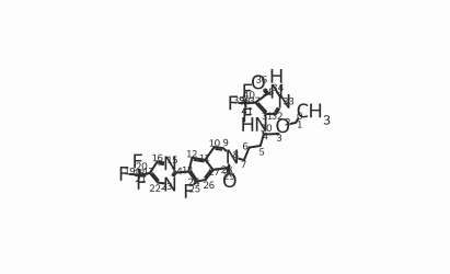 CCOCC(CCCn1ccc2cc(-c3ncc(C(F)(F)F)cn3)c(F)cc2c1=O)Nc1cn[nH]c(=O)c1C(F)(F)F